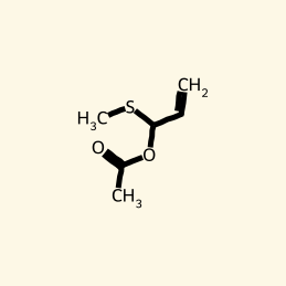 C=CC(OC(C)=O)SC